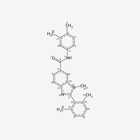 Cc1ccc(NC(=O)c2ccc3nc(-c4c(C)cccc4C)n(C)c3c2)cc1C